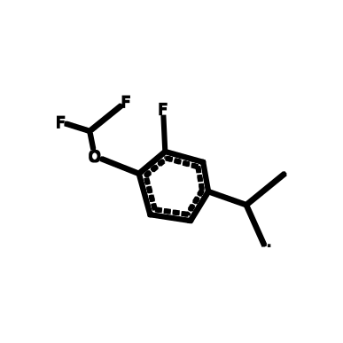 [CH2]C(C)c1ccc(OC(F)F)c(F)c1